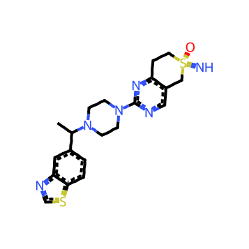 CC(c1ccc2scnc2c1)N1CCN(c2ncc3c(n2)CCS(=N)(=O)C3)CC1